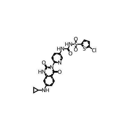 O=C(Nc1ccc(-n2c(=O)[nH]c3cc(NC4CC4)ccc3c2=O)nc1)NS(=O)(=O)c1ccc(Cl)s1